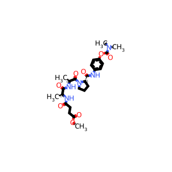 COC(=O)CCC(=O)N[C@@H](C)C(=O)N[C@@H](C)C(=O)N1CCC[C@H]1C(=O)Nc1ccc(OC(=O)N(C)C)cc1